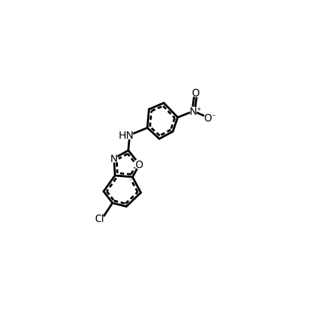 O=[N+]([O-])c1ccc(Nc2nc3cc(Cl)ccc3o2)cc1